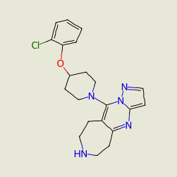 Clc1ccccc1OC1CCN(c2c3c(nc4ccnn24)CCNCC3)CC1